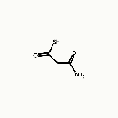 NC(=O)CC(=O)S